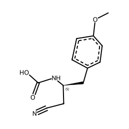 COc1ccc(C[C@@H](CC#N)NC(=O)O)cc1